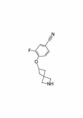 N#Cc1ccc(OC2CC3(CNC3)C2)c(F)c1